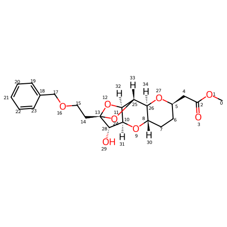 COC(=O)C[C@H]1CC[C@@H]2O[C@@H]3[C@H]4O[C@](CCOCc5ccccc5)(O[C@H]4[C@H]2O1)[C@H]3O